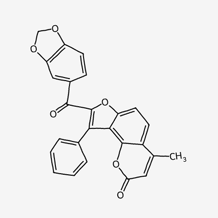 Cc1cc(=O)oc2c1ccc1oc(C(=O)c3ccc4c(c3)OCO4)c(-c3ccccc3)c12